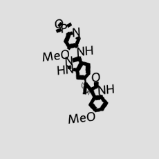 COc1ccc2c(c1)[C@]1(C[C@H]1c1ccc3c(Nc4cnc(P(C)(C)=O)cc4OC)n[nH]c3c1)C(=O)N2